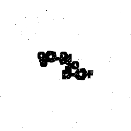 O=C(c1cc(-c2ccc3c(c2)OCO3)on1)N1CCCC1c1ccc(F)cc1